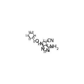 N#Cc1cn(COCc2ccccc2)c2ncnc(N)c12